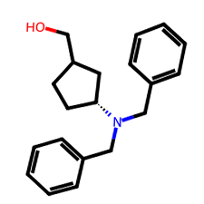 OCC1CC[C@@H](N(Cc2ccccc2)Cc2ccccc2)C1